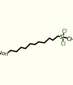 CCCCCCCCCCCCCCCCCCCC[Si](C)(Cl)Cl